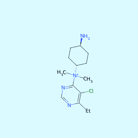 CCc1ncnc([N+](C)(C)[C@H]2CC[C@H](N)CC2)c1Cl